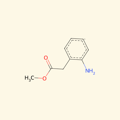 COC(=O)Cc1cc[c]cc1N